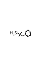 CC(C)([SiH3])Cc1ccccc1